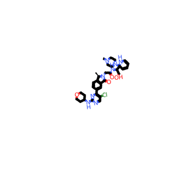 C[C@@H]1c2ccc(-c3nc(NC4CCOCC4)ncc3Cl)cc2C(=O)N1CC(=O)NC(CO)C1(N2CCN(C)CC2)C=CC=CN1